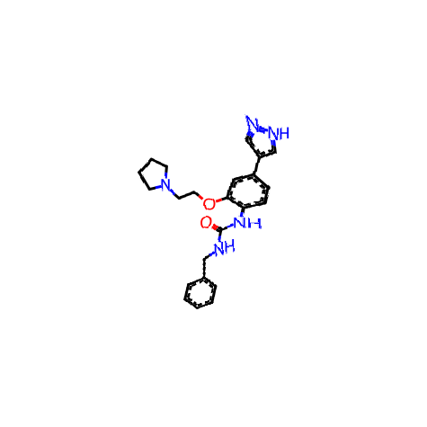 O=C(NCc1ccccc1)Nc1ccc(-c2cn[nH]c2)cc1OCCN1CCCC1